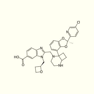 C[C@@]1(c2ccc(Cl)cn2)Oc2cccc(C34CCC3NCCN4Cc3nc4ccc(C(=O)O)cc4n3C[C@@H]3CCO3)c2O1